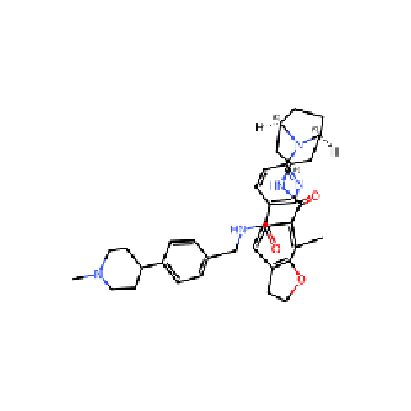 Cc1c(C(=O)N[C@H]2C[C@H]3CC[C@@H](C2)N3c2ccc(C(=O)NCc3ccc(C4CCN(C)CC4)cc3)cn2)ccc2c1OCC2